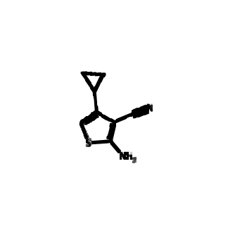 N#Cc1c(C2CC2)csc1N